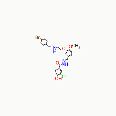 COc1ccc(/C=N/NC(=O)c2ccc(O)c(Cl)c2)cc1OCCNCCc1ccc(Br)cc1